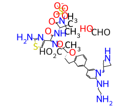 CC1(C)[C@H](NC(=O)/C(=N\O[C@](C)(C(=O)O)[C@H]2CCc3cc(-c4ccc(NCCN)[n+](CC5CNC5)c4)ccc3O2)c2csc(N)n2)C(=O)N1OS(=O)(=O)[O-].O=CO